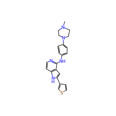 CN1CCN(c2ccc(Nc3nccc4[nH]c(-c5ccsc5)cc34)cc2)CC1